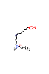 CCCCCCC(=O)N(CCCC/C=C\CCCCCCO)C(C)C